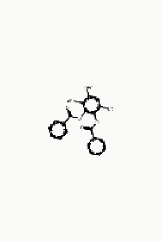 CCCc1cc(CC)c(OC(=O)c2ccccc2)c(OC(=O)c2ccccc2)c1CCC